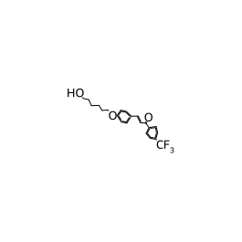 O=C(/C=C/c1ccc(OCCCCCCO)cc1)c1ccc(C(F)(F)F)cc1